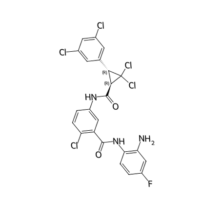 Nc1cc(F)ccc1NC(=O)c1cc(NC(=O)[C@H]2[C@H](c3cc(Cl)cc(Cl)c3)C2(Cl)Cl)ccc1Cl